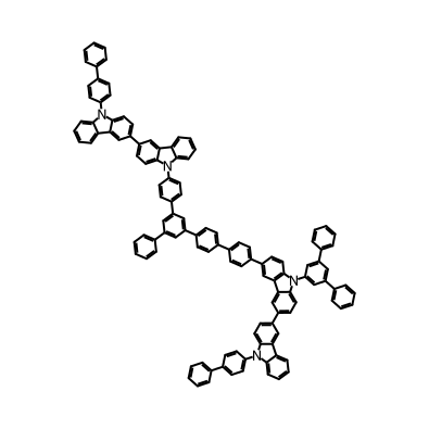 c1ccc(-c2ccc(-n3c4ccccc4c4cc(-c5ccc6c(c5)c5ccccc5n6-c5ccc(-c6cc(-c7ccccc7)cc(-c7ccc(-c8ccc(-c9ccc%10c(c9)c9cc(-c%11ccc%12c(c%11)c%11ccccc%11n%12-c%11ccc(-c%12ccccc%12)cc%11)ccc9n%10-c9cc(-c%10ccccc%10)cc(-c%10ccccc%10)c9)cc8)cc7)c6)cc5)ccc43)cc2)cc1